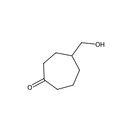 O=C1CCCC(CO)CC1